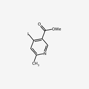 COC(=O)c1cnc(C)cc1I